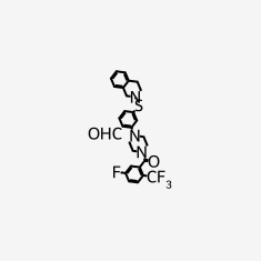 O=Cc1ccc(SN2CCc3ccccc3C2)cc1N1CCN(C(=O)c2cc(F)ccc2C(F)(F)F)CC1